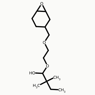 CCC(C)(C)C(O)OCCOCC1CCC2OC2C1